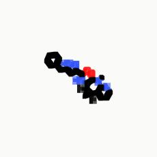 CN1C(=O)[C@H](NC(=O)c2cc(Cc3ccccc3)[nH]n2)[C@@H]2C[C@@H]2c2cccnc21